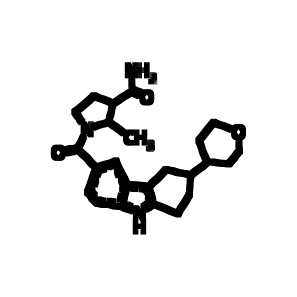 CC1C(C(N)=O)CCN1C(=O)c1ccc2[nH]c3c(c2c1)CC(C1CCOCC1)CC3